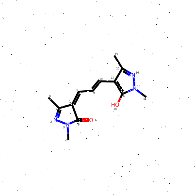 CC1=NN(C)C(=O)C1=CC=Cc1c(C)nn(C)c1O